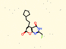 O=c1cc(CCC2CCCC2)c2c(=O)[nH]c(CF)nc2o1